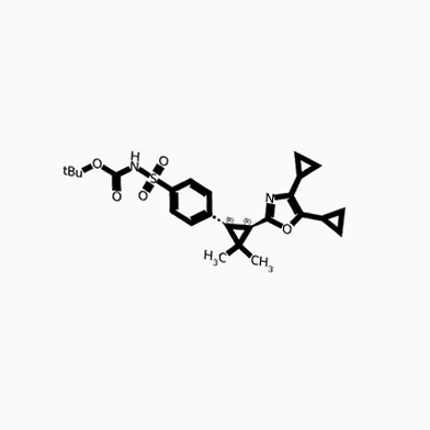 CC(C)(C)OC(=O)NS(=O)(=O)c1ccc([C@@H]2[C@@H](c3nc(C4CC4)c(C4CC4)o3)C2(C)C)cc1